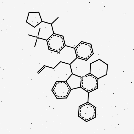 C=CCCC(c1ccccc1-c1cc(C(C)C2CCCC2)c([Si](C)(C)C)cn1)C1c2ccccc2-c2c(-c3ccccc3)cc3c([n+]21)CCCC3